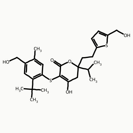 Cc1cc(SC2=C(O)CC(CCc3ccc(CO)s3)(C(C)C)OC2=O)c(C(C)(C)C)cc1CO